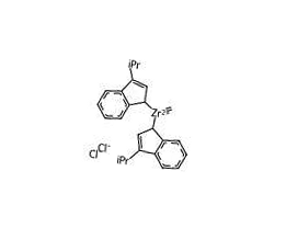 [CH2]=[Zr+2]([CH]1C=C(C(C)C)c2ccccc21)[CH]1C=C(C(C)C)c2ccccc21.[Cl-].[Cl-]